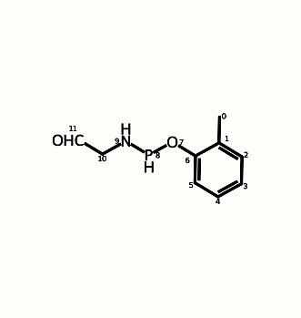 Cc1ccccc1OPNCC=O